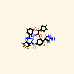 NC(=O)C(Oc1cccc(-c2nc3c(c(Nc4ccc(-c5cn[nH]c5)cc4)n2)CSC3)c1)C1CCCC1